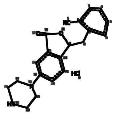 Cl.N#Cc1ccccc1CC1OC(=O)c2cc(N3CCNCC3)ccc21